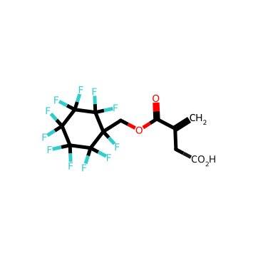 C=C(CC(=O)O)C(=O)OCC1(F)C(F)(F)C(F)(F)C(F)(F)C(F)(F)C1(F)F